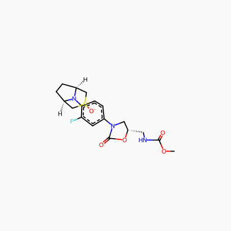 COC(=O)NC[C@H]1CN(c2ccc(N3[C@@H]4CC[C@H]3C[S+]([O-])C4)c(F)c2)C(=O)O1